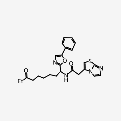 CCC(=O)CCCCC[C@H](NC(=O)Cc1csc2nccn12)c1ncc(-c2ccccc2)o1